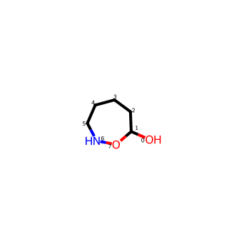 OC1CCCCNO1